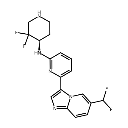 FC(F)c1ccc2ncc(-c3cccc(N[C@@H]4CCNCC4(F)F)n3)n2c1